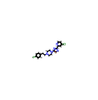 Fc1ccc(CCN2CCN(c3nc(-c4cc(Cl)ccn4)ns3)CC2)cc1